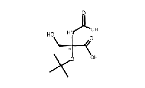 CC(C)(C)O[C@](CO)(NC(=O)O)C(=O)O